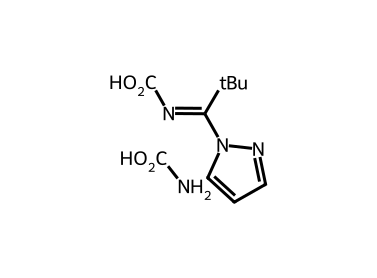 CC(C)(C)C(=NC(=O)O)n1cccn1.NC(=O)O